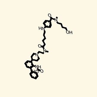 CN(CCN1CCC(c2cccc(-c3ccccc3)c2NC(=O)O)CC1)C(=O)CCCCCNc1ccc(C(=O)N(C)CCCCO)cc1